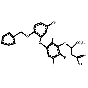 CCOC(=O)C(CC(N)=O)Oc1c(F)c(F)nc(Oc2cc(C#N)ccc2OCc2ccccc2)c1F